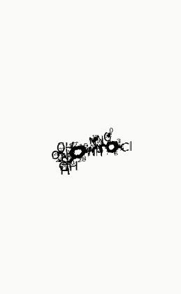 COc1cc(Cl)ccc1-c1ncnc(Nc2cccc(C[SH](C)(O)=NC(=O)O)c2)n1